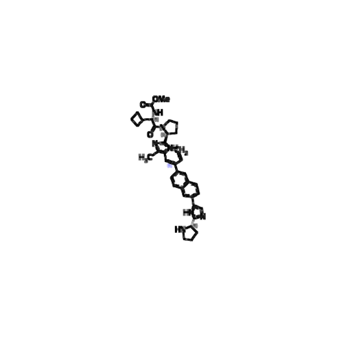 C=C/C(=C\c1[nH]c([C@@H]2CCCN2C(=O)[C@@H](NC(=O)OC)C2CCC2)nc1C)c1ccc2cc(-c3cnc([C@@H]4CCCN4)[nH]3)ccc2c1